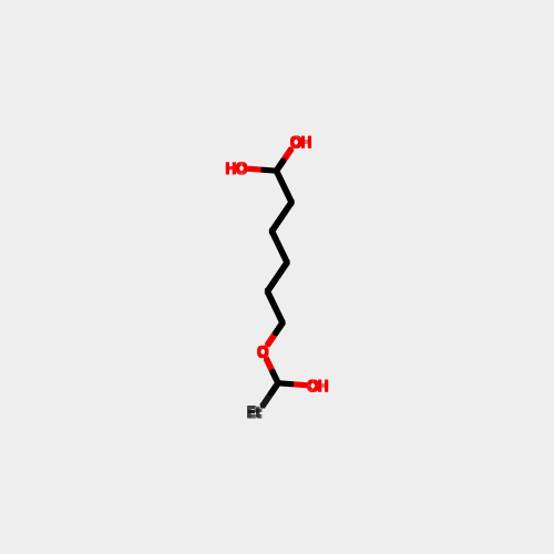 CCC(O)OCCCCCC(O)O